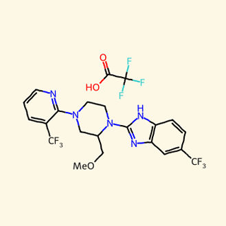 COCC1CN(c2ncccc2C(F)(F)F)CCN1c1nc2cc(C(F)(F)F)ccc2[nH]1.O=C(O)C(F)(F)F